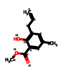 C=CCc1cc(C)cc(C(=O)OC)c1O